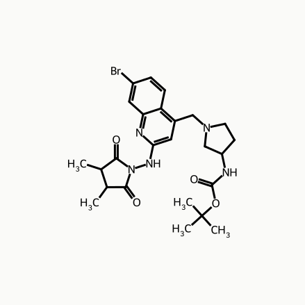 CC1C(=O)N(Nc2cc(CN3CCC(NC(=O)OC(C)(C)C)C3)c3ccc(Br)cc3n2)C(=O)C1C